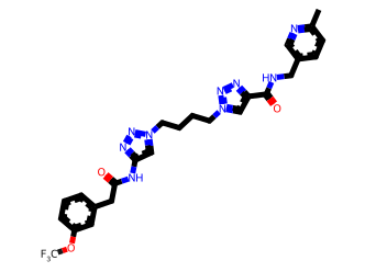 Cc1ccc(CNC(=O)c2cn(CCCCn3cc(NC(=O)Cc4cccc(OC(F)(F)F)c4)nn3)nn2)cn1